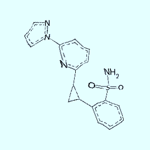 NS(=O)(=O)c1ccccc1C1CC1c1cccc(-n2cccn2)n1